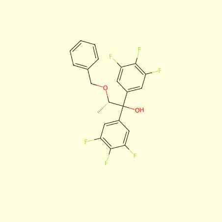 C[C@H](OCc1ccccc1)C(O)(c1cc(F)c(F)c(F)c1)c1cc(F)c(F)c(F)c1